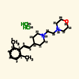 Cc1cccc(C)c1C=CC1CCN(CCN2CCOCC2)CC1.Cl.Cl